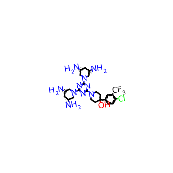 N[C@@H]1C[C@H](N)CN(c2nc(N3CCC(O)(c4ccc(Cl)c(C(F)(F)F)c4)CC3)nc(N3C[C@H](N)C[C@H](N)C3)n2)C1